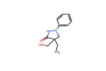 CCC1(CO)CN(c2ccccc2)NC1=O